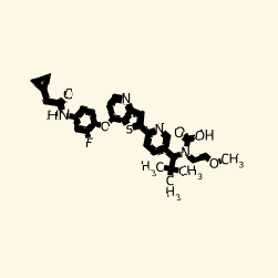 COCCN(C(=O)O)C(c1ccc(-c2cc3nccc(Oc4ccc(NC(=O)CC5CC5)cc4F)c3s2)nc1)C(C)(C)C